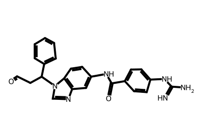 N=C(N)Nc1ccc(C(=O)Nc2ccc3c(c2)ncn3C(CC=O)c2ccccc2)cc1